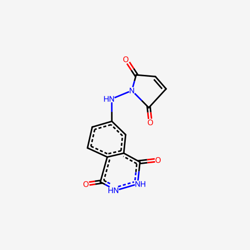 O=C1C=CC(=O)N1Nc1ccc2c(=O)[nH][nH]c(=O)c2c1